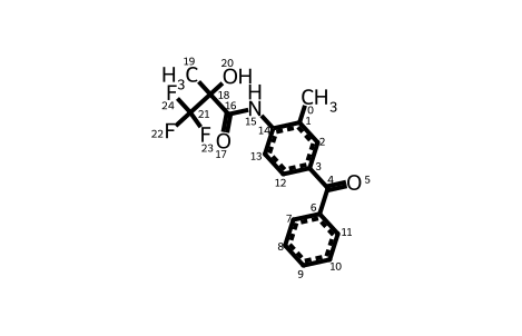 Cc1cc(C(=O)c2ccccc2)ccc1NC(=O)C(C)(O)C(F)(F)F